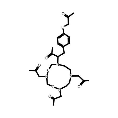 CC(=O)COc1ccc(CC(C(C)=O)N2CCN(CC(C)=O)CCN(CC(C)=O)CCN(CC(C)=O)CC2)cc1